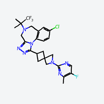 Cc1nc(N2CC3(CC(c4nnc5n4-c4ccc(Cl)cc4CN(C(C)(C)C(F)(F)F)C5)C3)C2)ncc1F